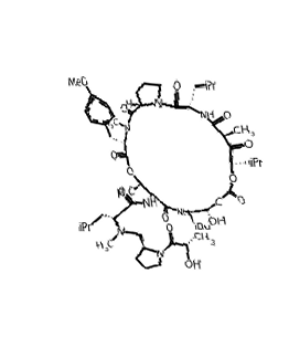 CC[C@H](C)[C@H]1NC(=O)[C@@H](NC(=O)[C@@H](CC(C)C)N(C)C[C@@H]2CCCN2C(=O)[C@H](C)O)[C@@H](C)OC(=O)[C@H](Cc2ccc(OC)cc2)N(C)C(=O)[C@@H]2CCCN2C(=O)[C@H](CC(C)C)NC(=O)[C@@H](C)C(=O)[C@H](C(C)C)OC(=O)C[C@@H]1O